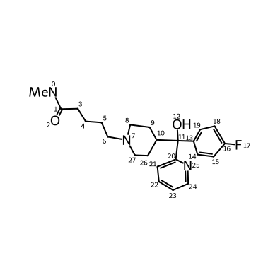 CNC(=O)CCCCN1CCC(C(O)(c2ccc(F)cc2)c2ccccn2)CC1